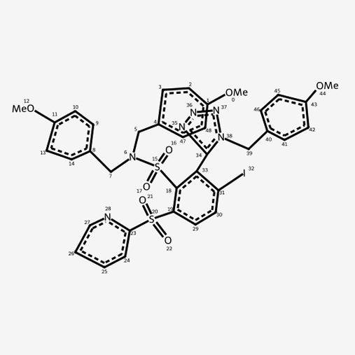 COc1ccc(CN(Cc2ccc(OC)cc2)S(=O)(=O)c2c(S(=O)(=O)c3ccccn3)ccc(I)c2-c2nnnn2Cc2ccc(OC)cc2)cc1